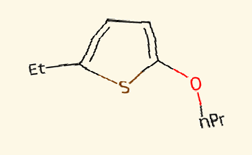 CCCOc1ccc(CC)s1